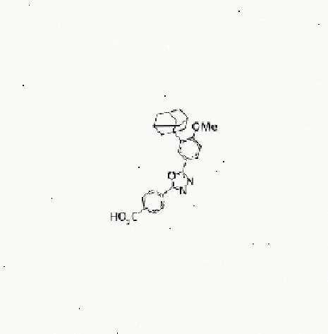 COc1ccc(-c2nnc(-c3ccc(C(=O)O)cc3)o2)cc1C12CC3CC(CC(C3)C1)C2